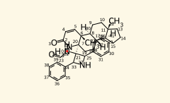 CN1C(=O)C=C[C@]2(C)[C@H]3CC[C@]4(C)CCC[C@H]4[C@@H]3CC[C@@]12C1(NC=O)C(c2ccccc2)NC1c1ccccc1